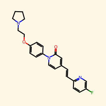 O=c1cc(C=Cc2ccc(F)cn2)ccn1-c1ccc(OCCN2CCCC2)cc1